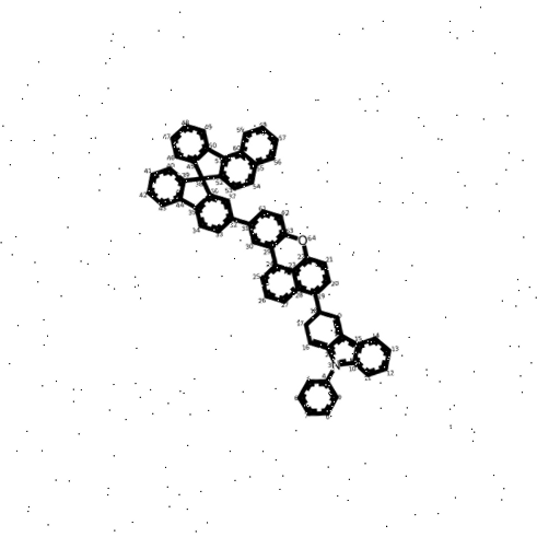 C1=c2c(n(-c3ccccc3)c3ccccc23)=CCC1c1ccc2c3c(cccc13)-c1cc(-c3ccc4c(c3)C3(c5ccccc5-4)c4ccccc4-c4c3ccc3ccccc43)ccc1O2